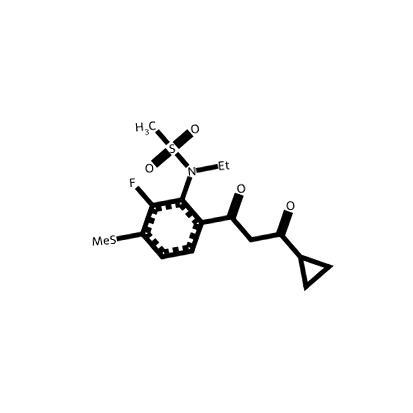 CCN(c1c(C(=O)CC(=O)C2CC2)ccc(SC)c1F)S(C)(=O)=O